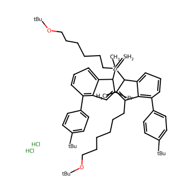 CC1=C(CCCCCCOC(C)(C)C)c2c(-c3ccc(C(C)(C)C)cc3)cccc2[CH]1[Zr]([CH3])(=[SiH2])([CH2]CCCCCOC(C)(C)C)[CH]1C(C(C)C)=Cc2c(-c3ccc(C(C)(C)C)cc3)cccc21.Cl.Cl